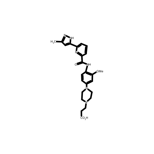 COc1cc(N2CCN(CCC(=O)O)CC2)ccc1NC(=O)c1cccc(-c2cc(C)n[nH]2)n1